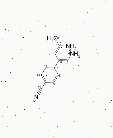 C/C(N)=C/C(=C\N)c1ccc(C#N)cc1